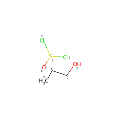 CCCO.[O-][S+](Cl)Cl